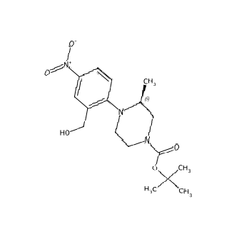 C[C@H]1CN(C(=O)OC(C)(C)C)CCN1c1ccc([N+](=O)[O-])cc1CO